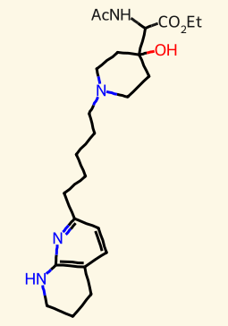 CCOC(=O)C(NC(C)=O)C1(O)CCN(CCCCCc2ccc3c(n2)NCCC3)CC1